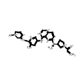 C=CC(=O)N1CC[C@H](N(C)c2ccc3ncnc(Nc4cnc(OC5CCCN(C(C)=O)C5)c(Cl)c4)c3n2)C1